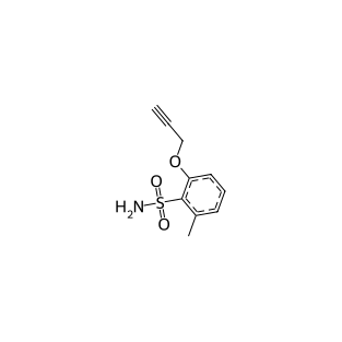 C#CCOc1cccc(C)c1S(N)(=O)=O